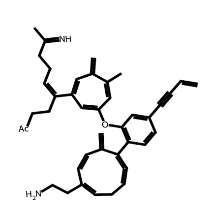 C=CC#Cc1ccc(C2=C=CC/C=C(CCN)\C=C/C2=C)c(OC2=CC(/C(=C\CCC(C)=N)CCC(C)=O)=CC(=C)C(C)=C2)c1